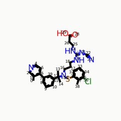 Cc1cnccc1-c1cccc(C(C)(C)N(CCCN/C(=N\C#N)NCCC(=O)O)Sc2cccc(Cl)c2C)c1